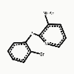 CC(=O)Nc1cccnc1Sc1ccccc1Br